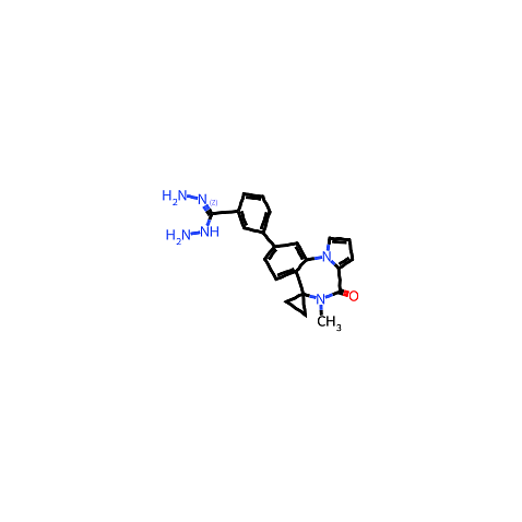 CN1C(=O)c2cccn2-c2cc(-c3cccc(/C(=N/N)NN)c3)ccc2C12CC2